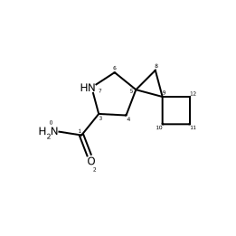 NC(=O)C1CC2(CN1)CC21CCC1